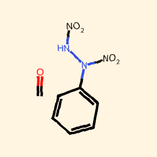 C=O.O=[N+]([O-])NN(c1ccccc1)[N+](=O)[O-]